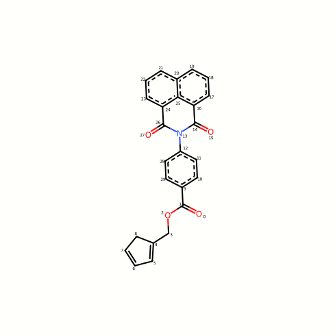 O=C(OCC1=CC=CC1)c1ccc(N2C(=O)c3cccc4cccc(c34)C2=O)cc1